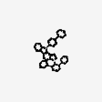 c1ccc(-c2ccc(-n3c4ccccc4c4ccc5c(ccn5-c5c(-c6ccccc6)cccc5-c5ccccc5)c43)cc2)cc1